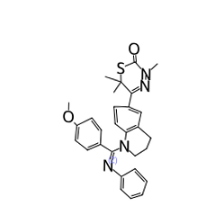 COc1ccc(/C(=N/c2ccccc2)N2CCCc3cc(C4=NN(C)C(=O)SC4(C)C)ccc32)cc1